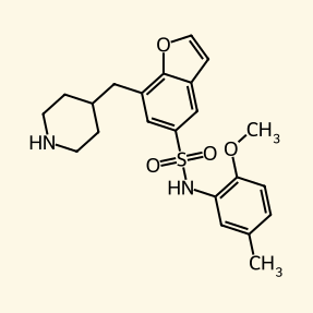 COc1ccc(C)cc1NS(=O)(=O)c1cc(CC2CCNCC2)c2occc2c1